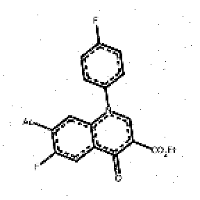 CCOC(=O)c1cn(-c2ccc(F)cc2)c2cc(C(C)=O)c(F)cc2c1=O